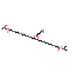 CCC(CC)COC(=O)CCCCCCCCCCCCCCC(CCCCCCCCCCCCCCC(=O)OCC(CC)CC)OC(=O)CCCN(C)C